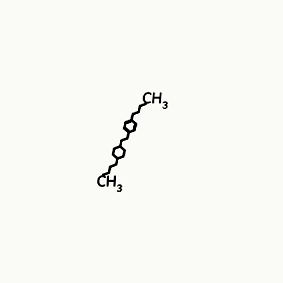 CCCCCc1ccc(CCC2CCC(CCCCC)CC2)cc1